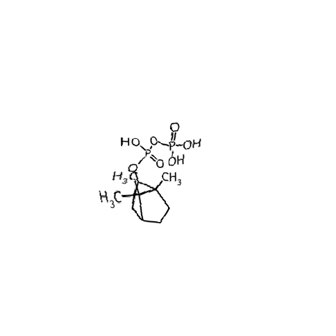 CC1(C)C2CCC1(C)C(OP(=O)(O)OP(=O)(O)O)C2